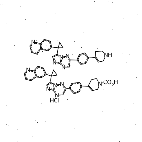 C1=C(c2ccc(-c3cnc4ncc(C5(c6ccc7ncccc7c6)CC5)n4n3)cc2)CCNC1.Cl.O=C(O)N1CC=C(c2ccc(-c3cnc4ncc(C5(c6ccc7ncccc7c6)CC5)n4n3)cc2)CC1